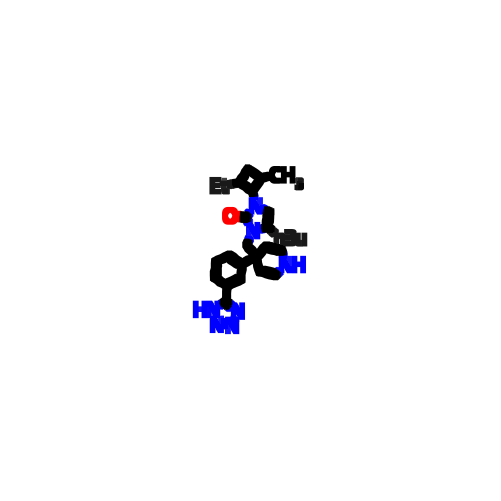 CCCCc1cn(C2C(C)CC2CC)c(=O)n1CC1(c2cccc(-c3nnn[nH]3)c2)C=CNC=C1